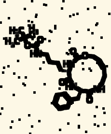 CC(C)(C)OC(=O)NCCCC[C@@H]1NC(=O)OCC=CCCNC(=O)[C@@H](Cc2ccccc2)NC1=O